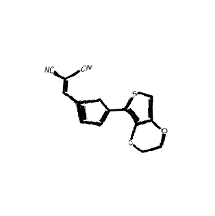 N#CC(C#N)=CC1=CC=C(c2scc3c2OCCO3)C1